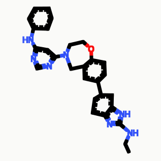 CCNc1nc2ccc(-c3ccc4c(c3)CN(c3cc(Nc5ccccc5)ncn3)CCO4)cc2[nH]1